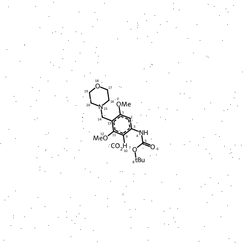 COc1cc(NC(=O)OC(C)(C)C)c(C(=O)O)c(OC)c1CN1CCOCC1